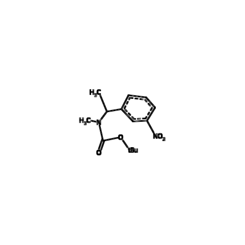 CC(c1cccc([N+](=O)[O-])c1)N(C)C(=O)OC(C)(C)C